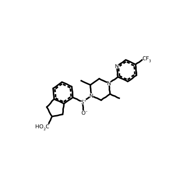 CC1CN([S+]([O-])c2cccc3c2CC(C(=O)O)C3)C(C)CN1c1ccc(C(F)(F)F)cn1